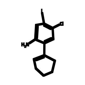 Nc1cc(I)c(Cl)cc1C1=CCCCC1